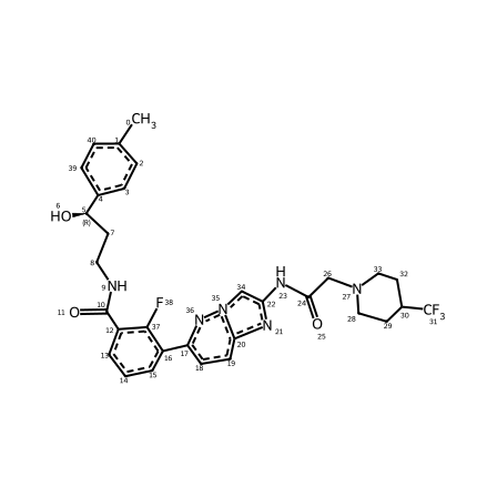 Cc1ccc([C@H](O)CCNC(=O)c2cccc(-c3ccc4nc(NC(=O)CN5CCC(C(F)(F)F)CC5)cn4n3)c2F)cc1